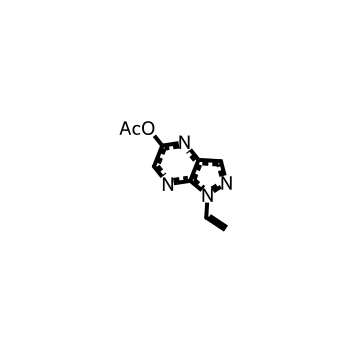 C=Cn1ncc2nc(OC(C)=O)cnc21